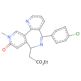 CCOC(=O)CC1N=C(c2ccc(Cl)cc2)c2cccnc2-c2cn(C)c(=O)cc21